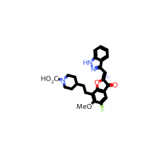 COc1c(F)cc2c(c1CCC1CCN(C(=O)O)CC1)O/C(=C\c1n[nH]c3ccccc13)C2=O